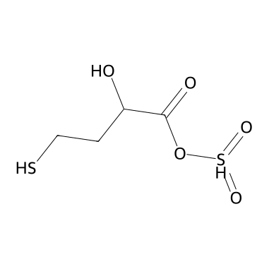 O=C(O[SH](=O)=O)C(O)CCS